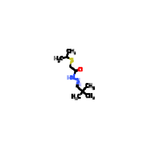 CC(C)SCC(=O)N/N=C/C(C)(C)C